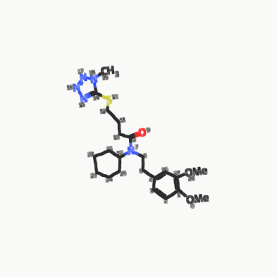 COc1ccc(CCN(C(=O)CCCSc2nnnn2C)C2CCCCC2)cc1OC